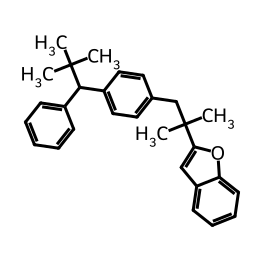 CC(C)(Cc1ccc(C(c2ccccc2)C(C)(C)C)cc1)c1cc2ccccc2o1